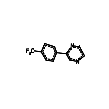 FC(F)(F)c1ccc(-c2cnc[c]n2)cc1